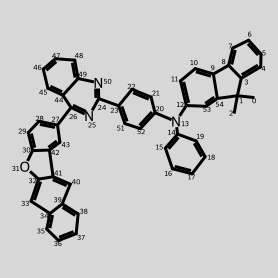 CC1(C)c2ccccc2-c2ccc(N(c3ccccc3)c3ccc(-c4nc(-c5ccc6oc7cc8ccccc8cc7c6c5)c5ccccc5n4)cc3)cc21